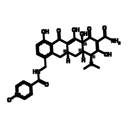 CN(C)[C@@H]1C(O)=C(C(N)=O)C(=O)[C@@]2(O)C(O)=C3C(=O)c4c(O)ccc(CNC(=O)c5cc[n+]([O-])cc5)c4C[C@H]3C[C@@H]12